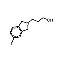 OCCCN1Cc2ccc(I)cc2C1